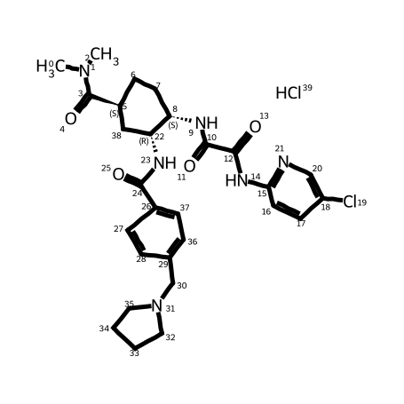 CN(C)C(=O)[C@H]1CC[C@H](NC(=O)C(=O)Nc2ccc(Cl)cn2)[C@H](NC(=O)c2ccc(CN3CCCC3)cc2)C1.Cl